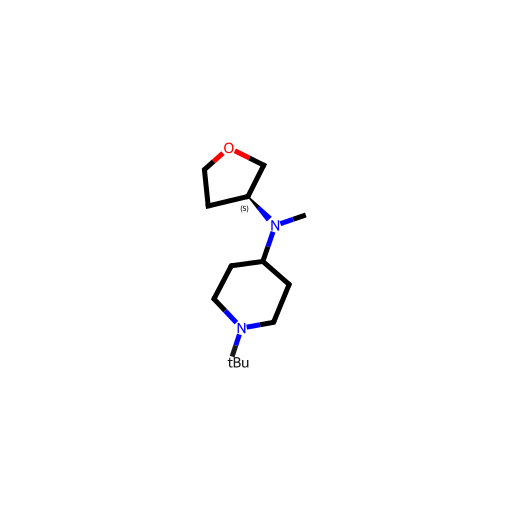 CN(C1CCN(C(C)(C)C)CC1)[C@H]1CCOC1